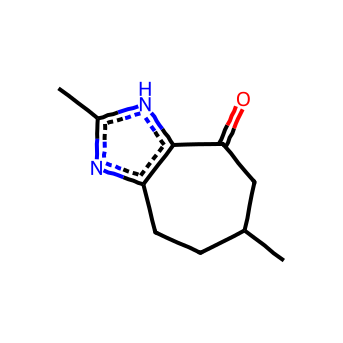 Cc1nc2c([nH]1)C(=O)CC(C)CC2